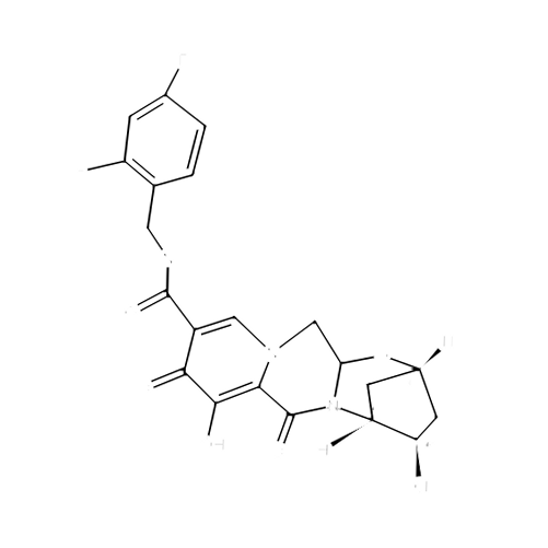 C[C@@H]1C[C@@H]2C[C@H]1N1C(=O)c3c(O)c(=O)c(C(=O)NCc4ccc(F)cc4F)cn3CC1O2